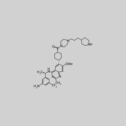 COc1cc2nc(C)nc(N[C@H](C)c3cc(N)cc(C(F)(F)F)c3)c2cc1[C@H]1CC[C@H](C(=O)N2CCN(CCCC3CCNCC3)CC2)CC1